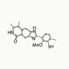 COc1c(-c2nc3cc4c(=O)[nH]c(C)c(C)c4cc3[nH]2)ccc(C)c1S